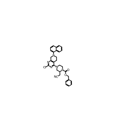 N#CCC1CN(c2nc(Cl)nc3c2CCN(c2cccc4ccccc24)C3)CCN1C(=O)OCc1ccccc1